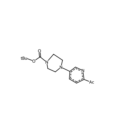 CC(=O)c1ccc(N2CCN(C(=O)OC(C)(C)C)CC2)cn1